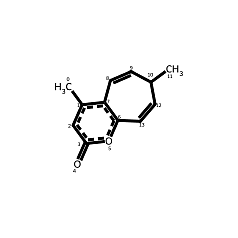 Cc1cc(=O)oc2c1C=CC(C)C=C2